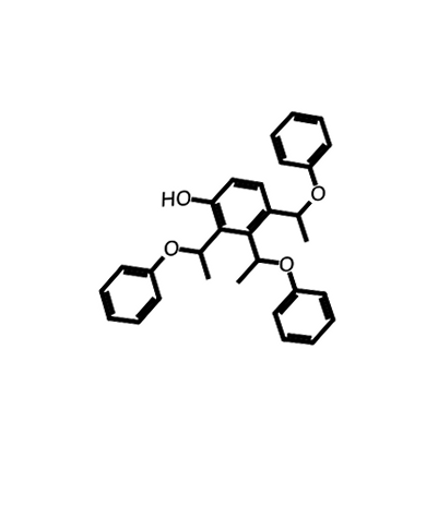 CC(Oc1ccccc1)c1ccc(O)c(C(C)Oc2ccccc2)c1C(C)Oc1ccccc1